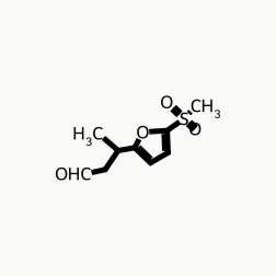 CC(CC=O)c1ccc(S(C)(=O)=O)o1